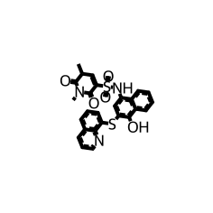 CC1C=C(S(=O)(=O)Nc2cc(Sc3cccc4cccnc34)c(O)c3ccccc23)C(=O)N(C)C1=O